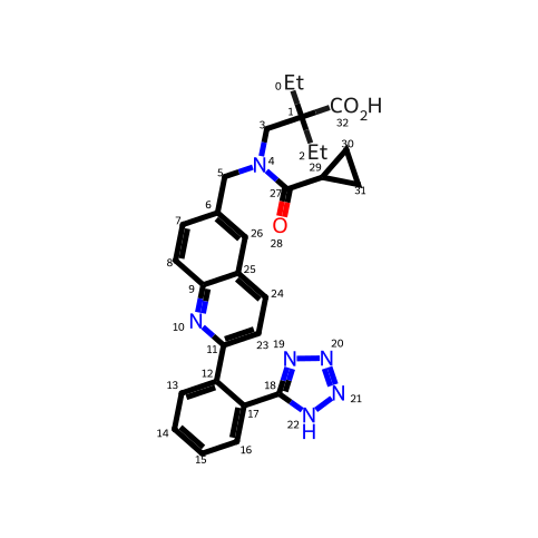 CCC(CC)(CN(Cc1ccc2nc(-c3ccccc3-c3nnn[nH]3)ccc2c1)C(=O)C1CC1)C(=O)O